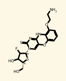 NCCOc1cccc2c1Nc1nc(=S)n([C@@H]3S[C@H](CO)C(O)C3F)cc1O2